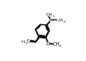 C=Cc1ccc(N(C)C)cc1OC